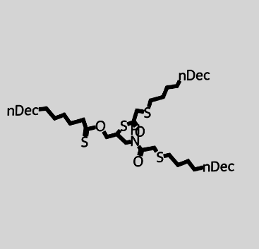 CCCCCCCCCCCCCCCC(=S)OCC(CNC(=O)CSCCCCCCCCCCCCCC)SC(=O)CSCCCCCCCCCCCCCC